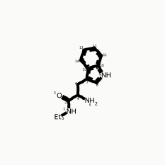 CCNC(=O)C(N)Cc1c[nH]c2ccccc12